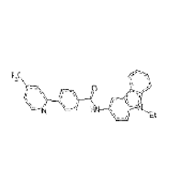 CCn1c2ccccc2c2cc(NC(=O)c3ccc(-c4cc(C(F)(F)F)ccn4)cc3)ccc21